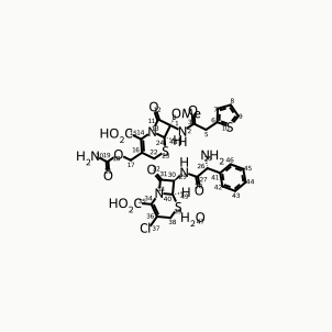 CO[C@@]1(NC(=O)Cc2cccs2)C(=O)N2C(C(=O)O)=C(COC(N)=O)CS[C@@H]21.N[C@@H](C(=O)N[C@@H]1C(=O)N2C(C(=O)O)=C(Cl)CS[C@H]12)c1ccccc1.O